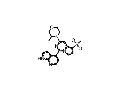 CC1COCCN1c1cc2c(S(C)(=O)=O)ccn2c(-c2ccnc3[nH]ccc23)n1